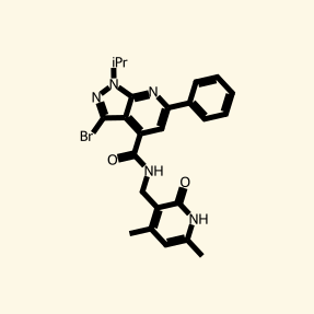 Cc1cc(C)c(CNC(=O)c2cc(-c3ccccc3)nc3c2c(Br)nn3C(C)C)c(=O)[nH]1